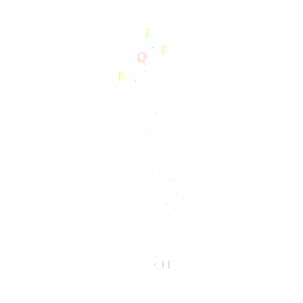 CCCCCc1ccc2cc(-c3ccc(-c4ccc(OC(F)F)c(F)c4)cc3)ccc2c1